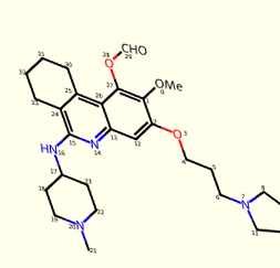 COc1c(OCCCN2CCCC2)cc2nc(NC3CCN(C)CC3)c3c(c2c1OC=O)CCCC3